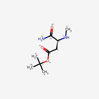 CN[C@@H](CC(=O)OC(C)(C)C)C(N)=O